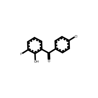 O=C(c1ccc(Cl)cc1)c1cccc(F)c1O